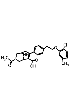 CC(=O)N1CC2CC(c3ccc(CCOc4cc(C)ccc4Cl)cc3)=C(C(=O)O)C(C1)N2